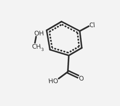 CO.O=C(O)c1cccc(Cl)c1